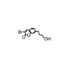 O=c1oc2cc(CCCCO)ccc2cc1Br